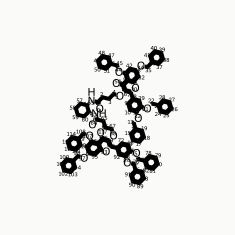 O=C(CCCOc1c(-c2ccc(OCc3ccccc3)c(OCc3ccccc3)c2)oc2cc(OCc3ccccc3)cc(OCc3ccccc3)c2c1=O)N[C@H]1CCCC[C@H]1NC(=O)CCCOc1c(-c2ccc(OCc3ccccc3)c(OCc3ccccc3)c2)oc2cc(OCc3ccccc3)cc(OCc3ccccc3)c2c1=O